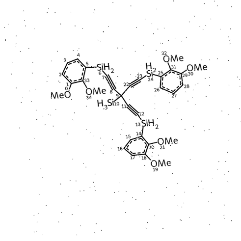 COc1cccc([SiH2]C#CC([SiH3])(C#C[SiH2]c2cccc(OC)c2OC)C#C[SiH2]c2cccc(OC)c2OC)c1OC